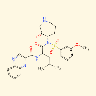 COc1cccc(S(=O)(=O)N(C(=O)C(CC(C)C)NC(=O)c2cnc3ccccc3n2)[C@H]2CCCNCC2=O)c1